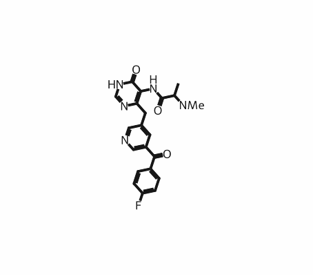 CNC(C)C(=O)Nc1c(Cc2cncc(C(=O)c3ccc(F)cc3)c2)nc[nH]c1=O